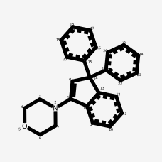 C1=C(N2CCOCC2)c2ccccc2C1(c1ccccc1)c1ccccc1